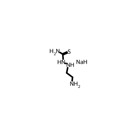 NCCNNC(N)=S.[NaH]